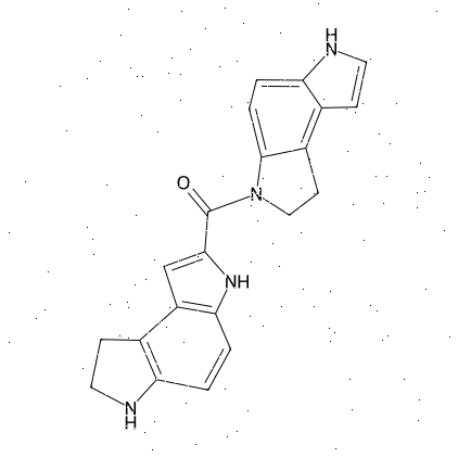 O=C(c1cc2c3c(ccc2[nH]1)NCC3)N1CCc2c1ccc1[nH]ccc21